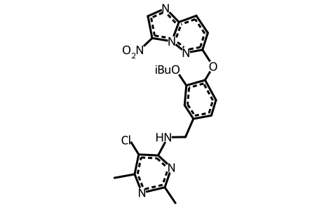 Cc1nc(C)c(Cl)c(NCc2ccc(Oc3ccc4ncc([N+](=O)[O-])n4n3)c(OCC(C)C)c2)n1